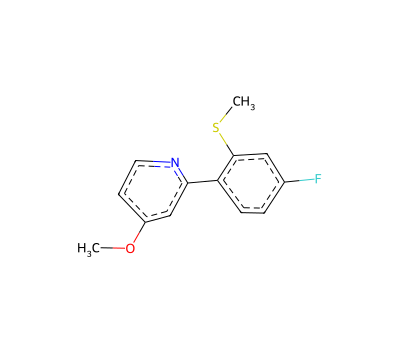 COc1ccnc(-c2ccc(F)cc2SC)c1